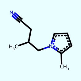 Cc1cccn1CC(C)CC#N